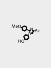 COc1ccc(-c2nc(C(C)=O)cn2-c2ccc(O)cc2)cc1